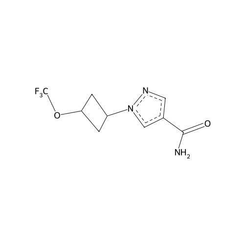 NC(=O)c1cnn(C2CC(OC(F)(F)F)C2)c1